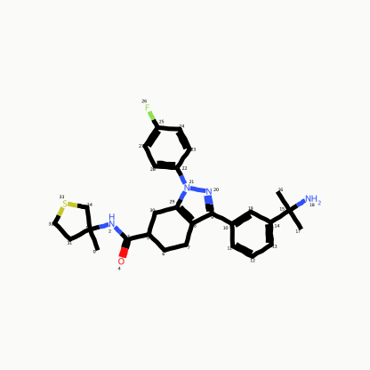 CC1(NC(=O)C2CCc3c(-c4cccc(C(C)(C)N)c4)nn(-c4ccc(F)cc4)c3C2)CCSC1